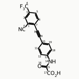 N#Cc1cc(C(F)(F)F)ccc1C#Cc1ccc(NC(=O)C(=O)O)cc1